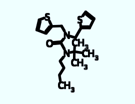 CCCCN(C(=O)N(Cc1cccs1)Cc1cccs1)C(C)(C)C